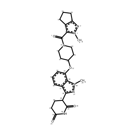 Cn1nc2c(c1C(=O)N1CCC(Oc3cccc4c(C5CCC(=O)NC5=O)nn(C)c34)CC1)CCC2